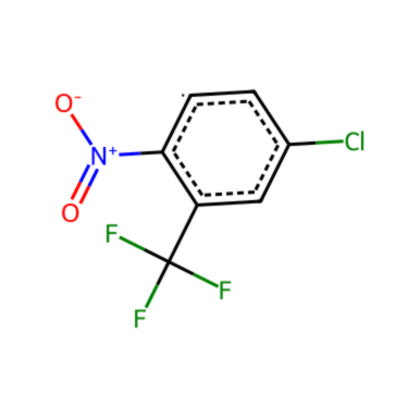 O=[N+]([O-])c1[c]cc(Cl)cc1C(F)(F)F